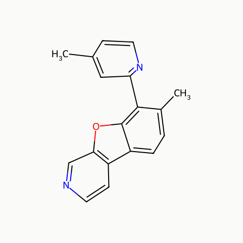 Cc1ccnc(-c2c(C)ccc3c2oc2cnccc23)c1